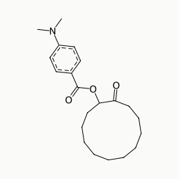 CN(C)c1ccc(C(=O)OC2CCCCCCCCCCC2=O)cc1